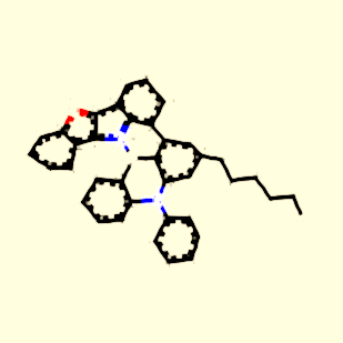 CCCCCCc1cc2c3c(c1)N(c1ccccc1)c1ccccc1B3n1c3c-2cccc3c2oc3ccccc3c21